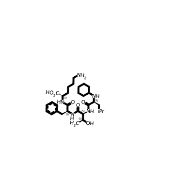 CC(C)C[C@H](NC1CCCCC1)C(=O)N[C@H](C(=O)N[C@@H](Cc1ccccc1)C(=O)N[C@@H](CCCCN)C(=O)O)[C@H](C)O